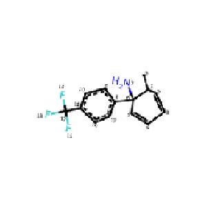 CC1C=CC=CC1(N)c1ccc(C(F)(F)F)cc1